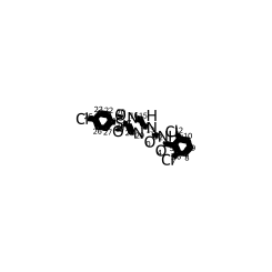 O=C(NC(=O)c1c(Cl)cccc1Cl)Nc1cnc(S(=O)(=O)c2ccc(Cl)cc2)cn1